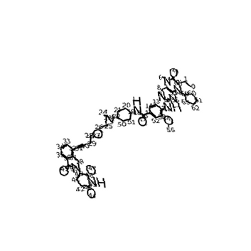 CC[C@@H]1C(=O)N(C)c2cnc(Nc3ccc(C(=O)N[C@H]4CC[C@@H](N(C)CCOCCC#Cc5cccc6c5CN(C5CCC(=O)NC5=O)C6=O)CC4)cc3OC)nc2N1C1CCCC1